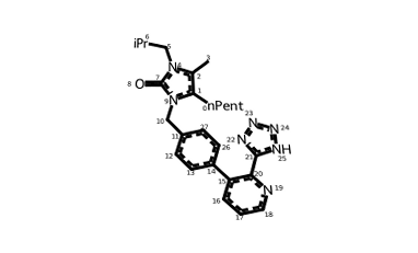 CCCCCc1c(C)n(CC(C)C)c(=O)n1Cc1ccc(-c2cccnc2-c2nnn[nH]2)cc1